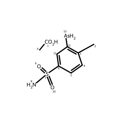 CC(=O)O.Cc1ccc(S(N)(=O)=O)cc1[AsH2]